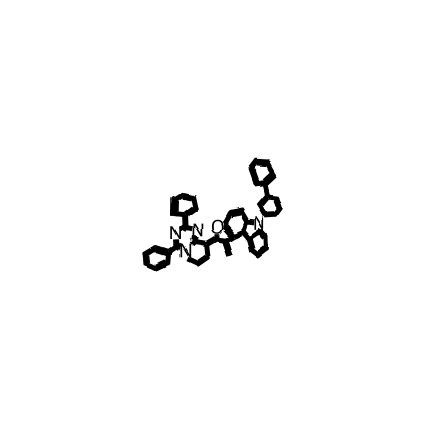 C=c1c2c(o/c1=C(/C=C\C)c1nc(-c3ccccc3)nc(-c3ccccc3)n1)C=CC1C2c2ccccc2N1c1cccc(-c2ccccc2)c1